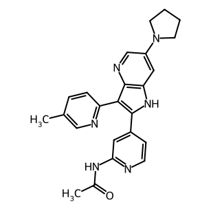 CC(=O)Nc1cc(-c2[nH]c3cc(N4CCCC4)cnc3c2-c2ccc(C)cn2)ccn1